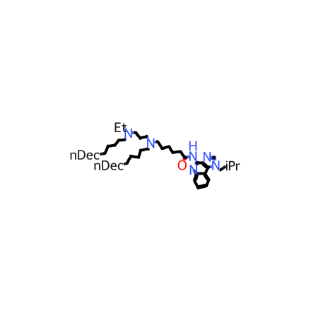 CCCCCCCCCCCCCCCN(CC)CCCN(CCCCCCCCCCCCCCC)CCCCCC(=O)Nc1nc2ccccc2c2c1ncn2CC(C)C